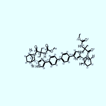 COC(=O)NC(C)(C)C(=O)N1[C@@H]2CC[C@@H](C2)[C@H]1c1nc(-c2ccc(-c3ccc(-c4c[nH]c([C@@H]5[C@H]6CC[C@H](C6)N5C(=O)C(C)(C)NC(=O)OC)n4)cc3)cc2)c[nH]1